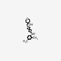 Cc1ccc([S+]([O-])N2CC3(CN(CC4(O)CCOCC4)C3)C2)c(C)c1